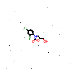 O=C1OC(CO)CN1c1ccc(Br)cc1F